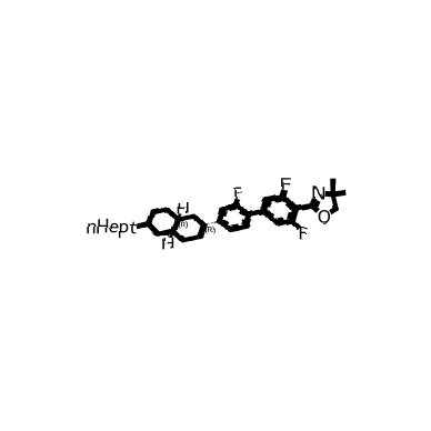 CCCCCCCC1CC[C@@H]2C[C@H](c3ccc(-c4cc(F)c(C5=NC(C)(C)CO5)c(F)c4)c(F)c3)CC[C@@H]2C1